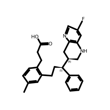 Cc1ccc(CCC(=O)O)c(CC[C@H](c2ccccc2)[C@@H]2CNc3cc(F)cnc3C2)c1